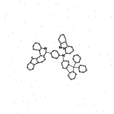 c1ccc(C2(c3ccccc3)c3ccccc3-c3ccc(N(c4ccc(-c5nc6ccccc6c6c5ccc5c7ccccc7sc56)cc4)c4cccc5c6ccccc6nn45)cc32)cc1